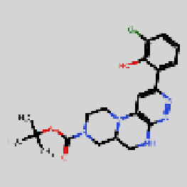 CC(C)(C)OC(=O)N1CCN2c3cc(-c4cccc(Cl)c4O)nnc3NCC2C1